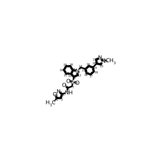 Cc1cc(NC(=O)CS(=O)(=O)c2cn(Cc3cccc(-c4cnn(C)c4)c3)c3ccccc23)no1